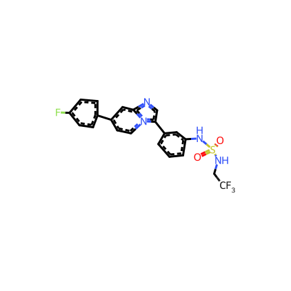 O=S(=O)(NCC(F)(F)F)Nc1cccc(-c2cnc3cc(-c4ccc(F)cc4)ccn23)c1